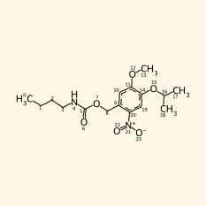 CCCCNC(=O)OCc1cc(OC)c(OC(C)C)cc1[N+](=O)[O-]